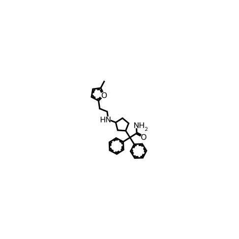 Cc1ccc(CCNC2CCC(C(C(N)=O)(c3ccccc3)c3ccccc3)C2)o1